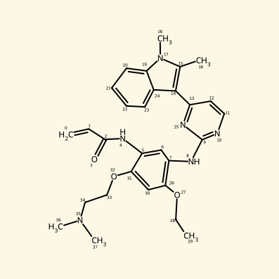 C=CC(=O)Nc1cc(Nc2nccc(-c3c(C)n(C)c4ccccc34)n2)c(OCC)cc1OCCN(C)C